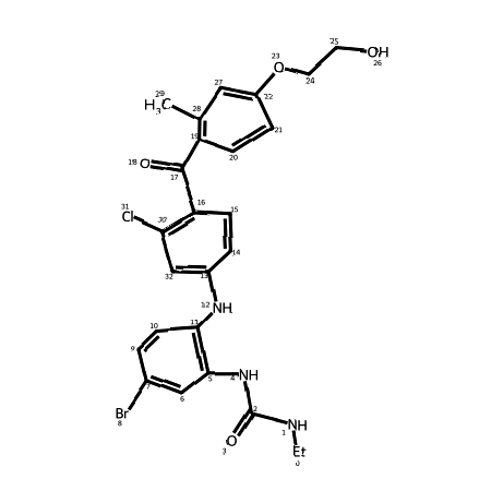 CCNC(=O)Nc1cc(Br)ccc1Nc1ccc(C(=O)c2ccc(OCCO)cc2C)c(Cl)c1